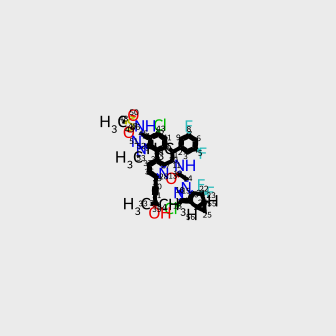 CC(c1cc(F)cc(F)c1)[C@H](NC(=O)Cn1nc(Cl)c2c1C(F)(F)[C@@H]1C[C@H]21)c1nc(C#CC(C)(C)O)ccc1-c1ccc(Cl)c2c(NS(C)(=O)=O)nn(C)c12